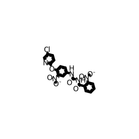 O=C(NC(=O)c1ccccc1[N+](=O)[O-])Nc1ccc(Oc2ccc(Cl)cn2)c([N+](=O)[O-])c1